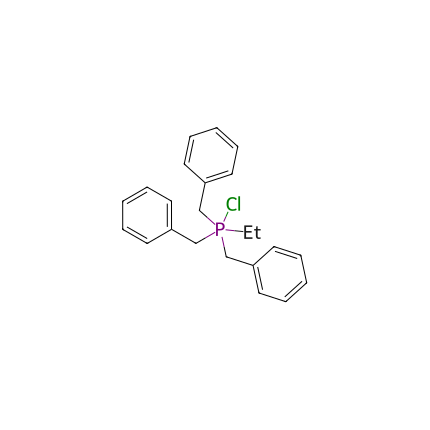 CCP(Cl)(Cc1ccccc1)(Cc1ccccc1)Cc1ccccc1